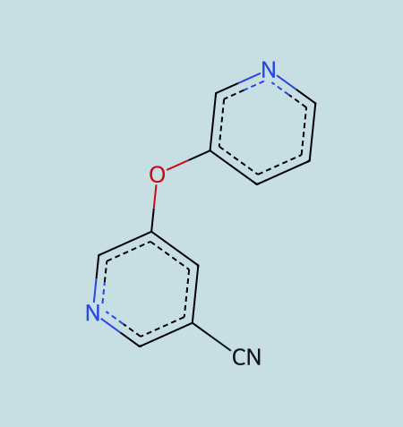 N#Cc1cncc(Oc2cccnc2)c1